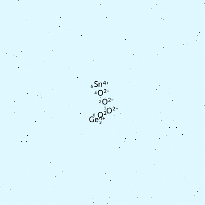 [Ge+4].[O-2].[O-2].[O-2].[O-2].[Sn+4]